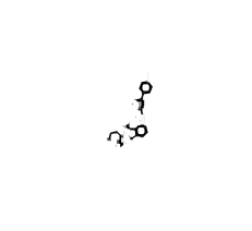 O=C1CCC(N2C(=O)c3cccc(NCc4ncc(-c5ccc(F)cc5)o4)c3C2=O)C(=O)N1